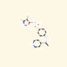 C=C(Nc1ccc(S(=O)(=O)Nc2onc(C)c2C)cc1)c1ccncc1